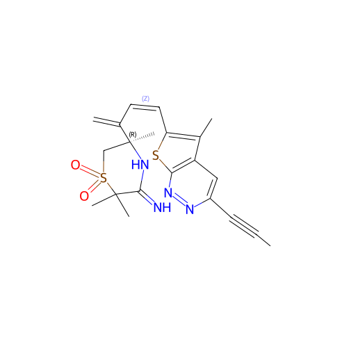 C=C(/C=C\c1sc2nnc(C#CC)cc2c1C)[C@]1(C)CS(=O)(=O)C(C)(C)C(=N)N1